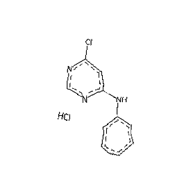 Cl.Clc1cc(Nc2ccccc2)ncn1